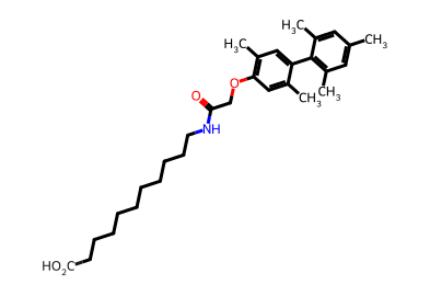 Cc1cc(C)c(-c2cc(C)c(OCC(=O)NCCCCCCCCCCC(=O)O)cc2C)c(C)c1